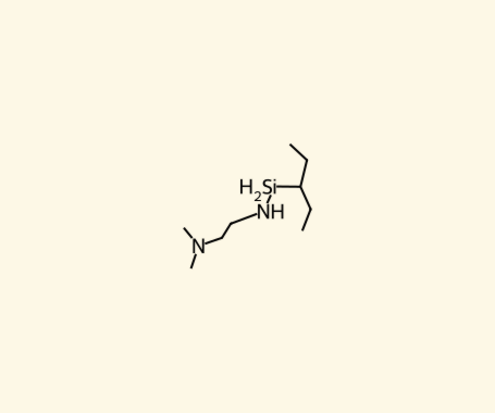 CCC(CC)[SiH2]NCCN(C)C